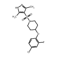 Cc1n[nH]c(C)c1S(=O)(=O)N1CCC(Oc2ccc(Cl)cc2F)CC1